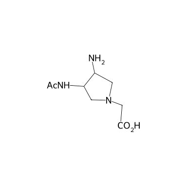 CC(=O)NC1CN(CC(=O)O)CC1N